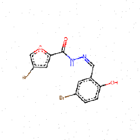 O=C(N/N=C\c1cc(Br)ccc1O)c1cc(Br)co1